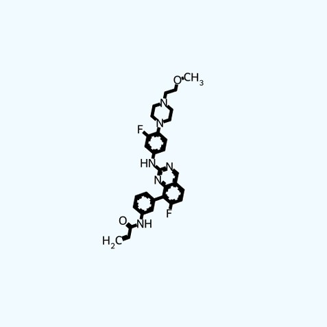 C=CC(=O)Nc1cccc(-c2c(F)ccc3cnc(Nc4ccc(N5CCN(CCOC)CC5)c(F)c4)nc23)c1